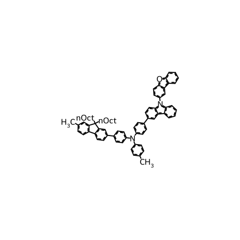 CCCCCCCCC1(CCCCCCCC)c2cc(C)ccc2-c2ccc(-c3ccc(N(c4ccc(C)cc4)c4ccc(-c5ccc6c(c5)c5ccccc5n6-c5ccc6oc7ccccc7c6c5)cc4)cc3)cc21